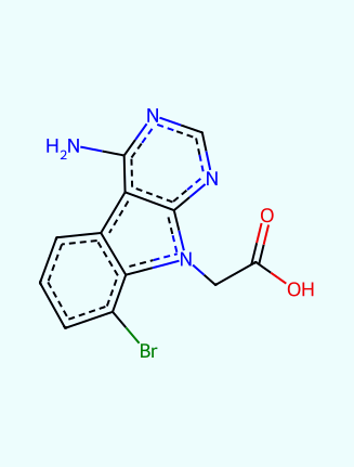 Nc1ncnc2c1c1cccc(Br)c1n2CC(=O)O